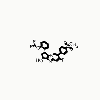 CS(=O)(=O)c1ccc(-c2cn3c4c(nc3cc2F)[C@H](O)C[C@@H]4c2ccccc2OC(F)F)cc1